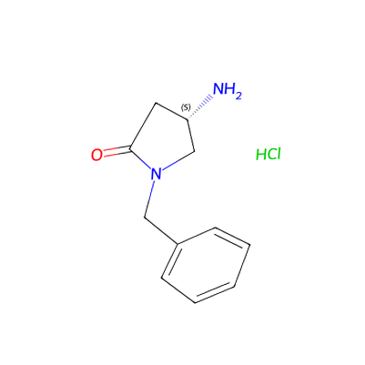 Cl.N[C@H]1CC(=O)N(Cc2ccccc2)C1